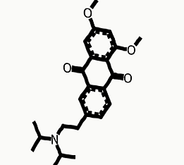 COc1cc(OC)c2c(c1)C(=O)c1cc(CCN(C(C)C)C(C)C)ccc1C2=O